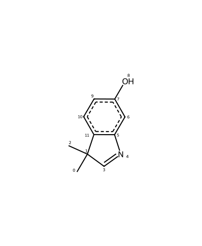 CC1(C)C=Nc2cc(O)ccc21